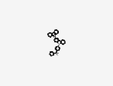 O=C(c1ccccc1)c1ccc(-n2c3ccccc3c3cc(-n4c5ccccc5c5ccccc54)ccc32)cc1